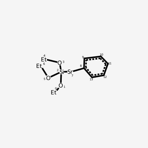 CCO[Si](OCC)(OCC)[Sr][c]1ccccc1